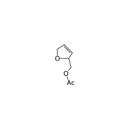 CC(=O)OCC1C=CCO1